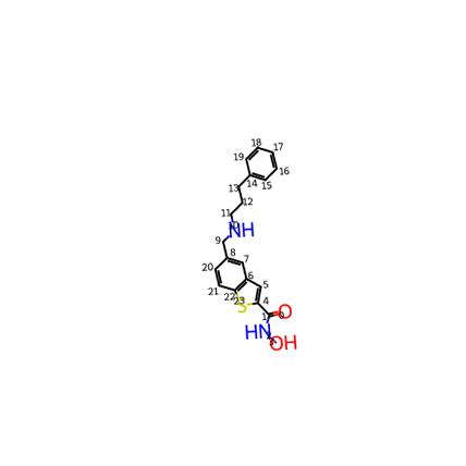 O=C(NO)c1cc2cc(CNCCCc3ccccc3)ccc2s1